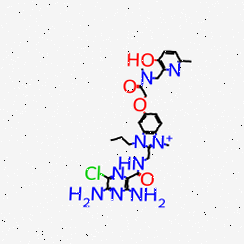 CCCn1c(CNC(=O)c2nc(Cl)c(N)nc2N)[n+](C)c2ccc(OCC(=O)N(C)Cc3nc(C)ccc3O)cc21